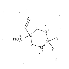 C=CC1(C(=O)O)COC(C)(C)OC1